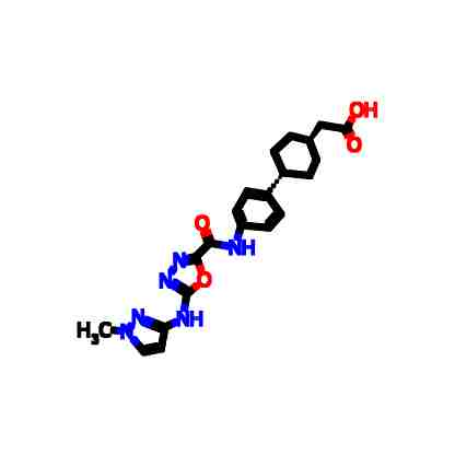 Cn1ccc(Nc2nnc(C(=O)Nc3ccc([C@H]4CC[C@H](CC(=O)O)CC4)cc3)o2)n1